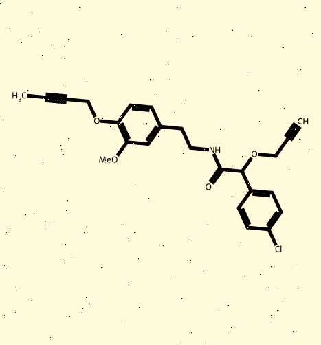 C#CCOC(C(=O)NCCc1ccc(OCC#CC)c(OC)c1)c1ccc(Cl)cc1